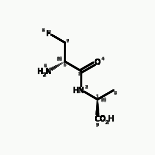 C[C@H](NC(=O)[C@H](N)CF)C(=O)O